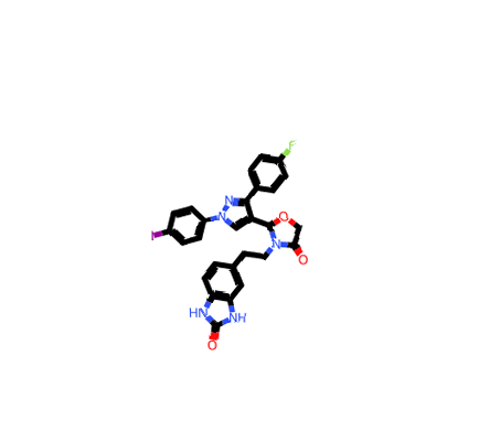 O=C1COC(c2cn(-c3ccc(I)cc3)nc2-c2ccc(F)cc2)N1CCc1ccc2[nH]c(=O)[nH]c2c1